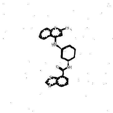 O=C(N[C@@H]1CCC[C@H](Nc2cc(C(F)(F)F)nc3ccccc23)C1)c1cccc2ncsc12